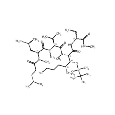 CC[C@H](NC(=O)[C@H]([C@H](O[Si](C)(C)C(C)(C)C)[C@H](C)CCCO)N(C)C(=O)[C@H](C(C)C)N(C)C(=O)[C@H](CC(C)C)N(C)C(=O)CCC(C)C)C(=O)NC